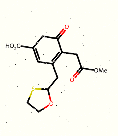 COC(=O)CC1=C(CC2OCCS2)C=C(C(=O)O)CC1=O